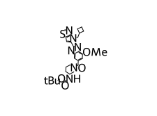 COc1cc(C(=O)N2CCCC(NC(=O)OC(C)(C)C)C2)cc2nc(-c3cc4scnc4n3CC3CCC3)n(C)c12